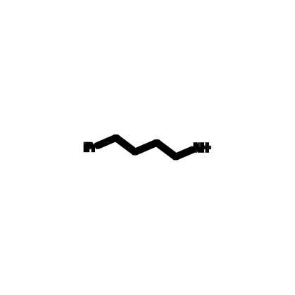 CC(C)CCCC[NH]